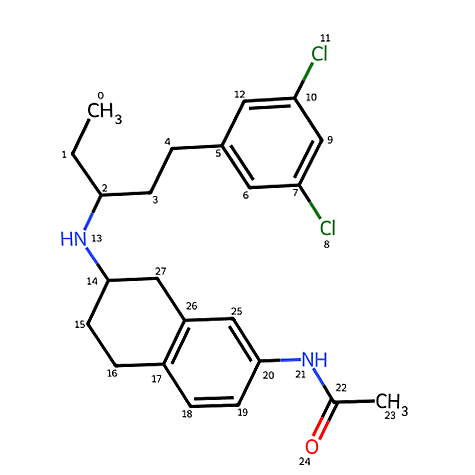 CCC(CCc1cc(Cl)cc(Cl)c1)NC1CCc2ccc(NC(C)=O)cc2C1